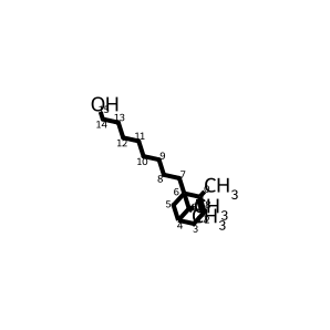 CC1=CCC2CC1(CCCCCCCCO)C2(C)C